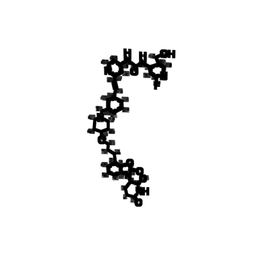 O=C1CCC(n2c(=O)oc3c(CCCOC4CCN(Cc5cccc(C#Cc6cc(NC(=O)Nc7cc(F)ncc7CO)ccn6)c5)CC4)cccc32)C(=O)N1